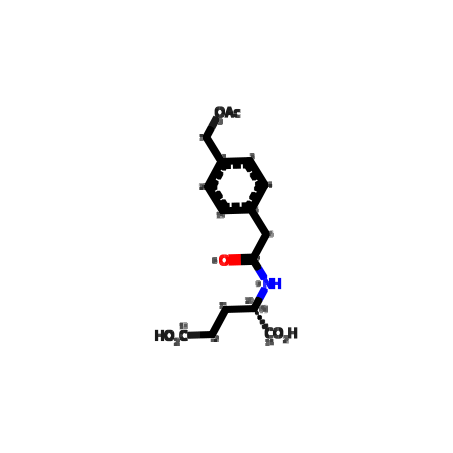 CC(=O)OCc1ccc(CC(=O)N[C@@H](CCC(=O)O)C(=O)O)cc1